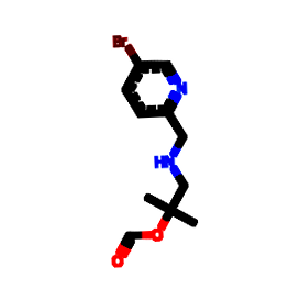 CC(C)(CNCc1ccc(Br)cn1)OC=O